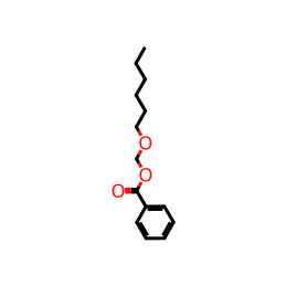 CCCCCCOCOC(=O)c1ccccc1